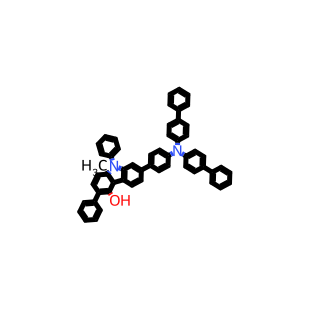 CC12C=CC(c3ccccc3)=C(O)C1c1ccc(-c3ccc(N(c4ccc(-c5ccccc5)cc4)c4ccc(-c5ccccc5)cc4)cc3)cc1N2c1ccccc1